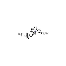 CCOC(=O)N1CC=C(c2ccc[nH]/c2=N\C(=N)Nc2ccc(C(=O)NCCCN3CCOCC3)cc2)CC1